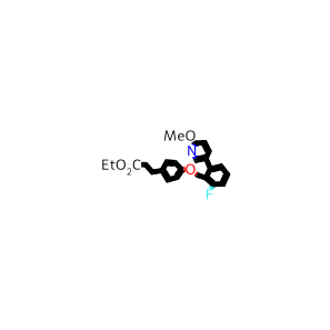 CCOC(=O)CCc1ccc(OCc2c(F)cccc2-c2ccc(OC)nc2)cc1